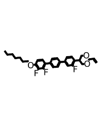 C=CC1OCC(c2ccc(-c3ccc(-c4ccc(OCCCCCCC)c(F)c4F)cc3)cc2F)CO1